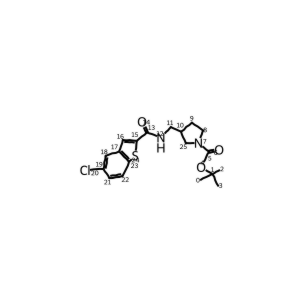 CC(C)(C)OC(=O)N1CCC(CNC(=O)c2cc3cc(Cl)ccc3s2)C1